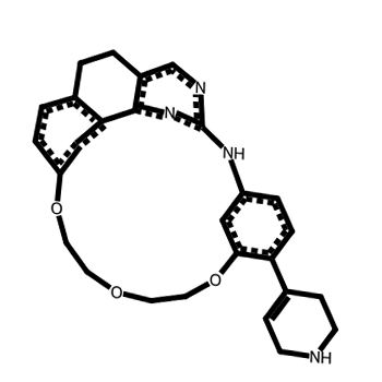 C1=C(c2ccc3cc2OCCOCCOc2ccc4c(c2)-c2nc(ncc2CC4)N3)CCNC1